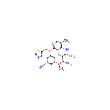 COc1cc(C#N)ccc1[C@H]1C(C(N)=O)=C(C)Nc2c(C)cnc(OCc3cncs3)c21